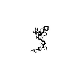 CC1(C(=O)c2c[nH]c3ncc(-c4ccc(C(=O)N5CC(O)C5)s4)nc23)CCCCC1